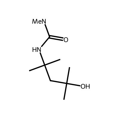 CNC(=O)NC(C)(C)CC(C)(C)O